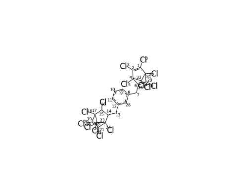 ClC1=C(Cl)C2(Cl)C(Cc3cccc(CC4C(Cl)C5(Cl)C(Cl)=C(Cl)C4(Cl)C5(Cl)Cl)c3)C(Cl)C1(Cl)C2(Cl)Cl